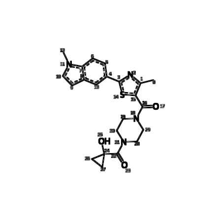 Cc1nc(-c2ccc3c(ccn3C)c2)sc1C(=O)N1CCN(C(=O)C2(O)CC2)CC1